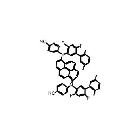 Cc1ccc(C)c(-c2cc(N(c3ccc(C#N)cc3)c3ccc4ccc5c(N(c6ccc(C#N)cc6)c6cc(-c7cc(C)ccc7C)c(F)cc6F)ccc6ccc3c4c65)c(F)cc2F)c1